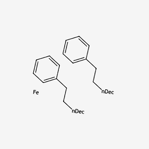 CCCCCCCCCCCCc1ccccc1.CCCCCCCCCCCCc1ccccc1.[Fe]